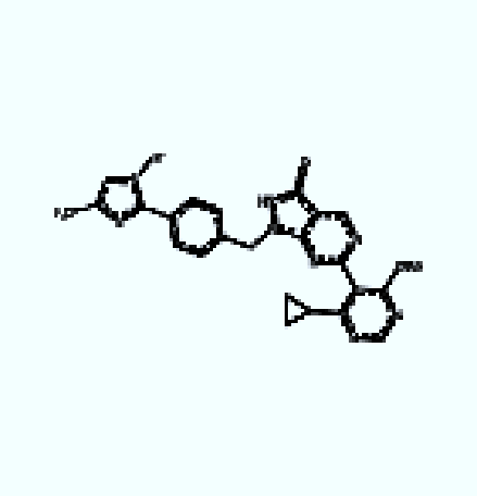 COc1ncnc(C2CC2)c1-c1ncc2c(=O)[nH]n(Cc3ccc(-c4nc(C(F)(F)F)cn4C(C)C)cc3)c2n1